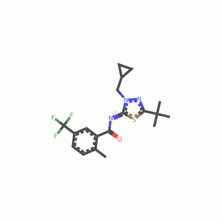 Cc1ccc(C(F)(F)F)cc1C(=O)/N=c1\sc(C(C)(C)C)nn1CC1CC1